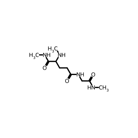 CNC(=O)CNC(=O)CCC(NC)C(=O)NC